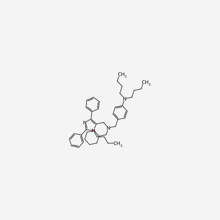 CCCCN(CCCC)c1ccc(CN(Cc2c(-c3ccccc3)nc(-c3ccccc3)n2CCCC)CC2CCCCC2)cc1